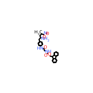 C[C@@H](C[C@@H](N)Cc1ccc(NC(=O)CNC(=O)OCC2c3ccccc3-c3ccccc32)cc1)C(=O)N=O